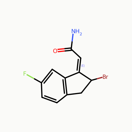 NC(=O)/C=C1\c2cc(F)ccc2CC1Br